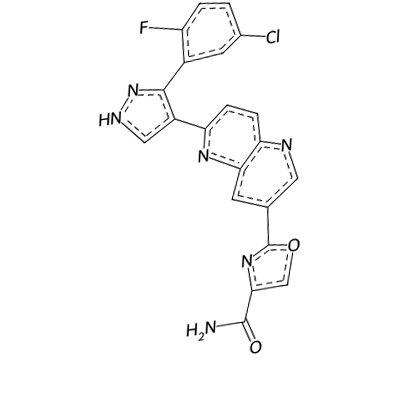 NC(=O)c1coc(-c2cnc3ccc(-c4c[nH]nc4-c4cc(Cl)ccc4F)nc3c2)n1